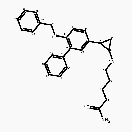 NC(=O)CCCCNC1CC1c1ccc(OCc2ccccc2)c(-c2ccccc2)c1